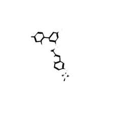 CS(=O)(=O)Nc1ccc2oc(C(=O)Nc3cc(Br)cc(-c4ccc(F)cc4F)c3)cc2c1